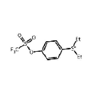 CC[S+](CC)c1ccc(OS(=O)(=O)C(F)(F)F)cc1